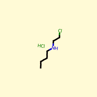 CCCCNCCCl.Cl